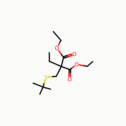 CCOC(=O)C(CC)(CSC(C)(C)C)C(=O)OCC